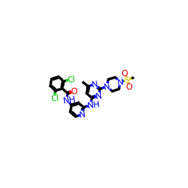 Cc1cc(Nc2cc(NC(=O)c3c(Cl)cccc3Cl)ccn2)nc(N2CCN(S(C)(=O)=O)CC2)n1